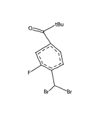 CC(C)(C)C(=O)c1ccc(C(Br)Br)c(F)c1